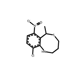 CC1SCCCNc2c(Cl)ccc([N+](=O)[O-])c21